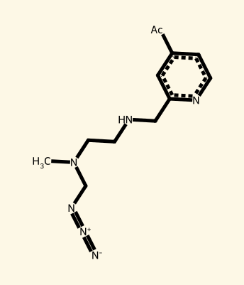 CC(=O)c1ccnc(CNCCN(C)CN=[N+]=[N-])c1